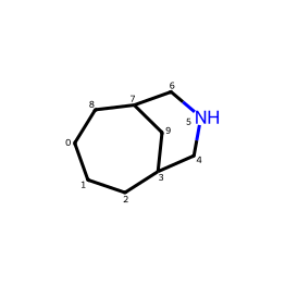 C1CCC2CNCC(C1)C2